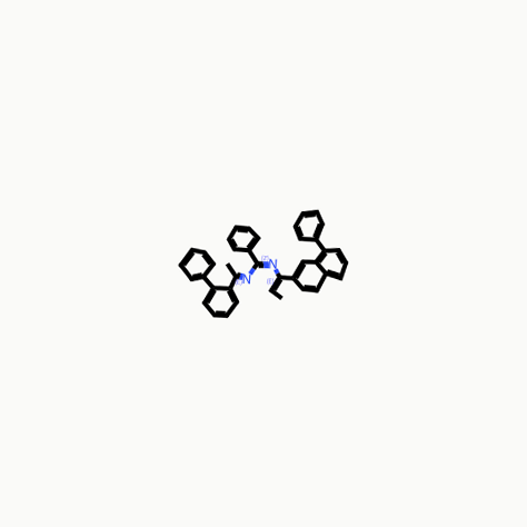 C/C=C(/N=C(\N=C(/C)c1ccccc1-c1ccccc1)c1ccccc1)c1ccc2cccc(-c3ccccc3)c2c1